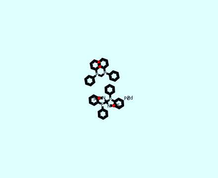 S=C=NC(N=C=S)(P(c1ccccc1)c1ccccc1)P(c1ccccc1)c1ccccc1.[Pd].[Pd].c1ccc(P(CP(c2ccccc2)c2ccccc2)c2ccccc2)cc1